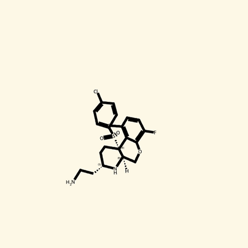 NCC[C@@H]1CC[C@@]2(S(=O)(=O)c3ccc(Cl)cc3)c3c(F)ccc(F)c3OC[C@H]2N1